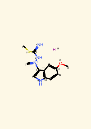 C=[N+](NC(=N)SC)c1c[nH]c2ccc(OC)cc12.I